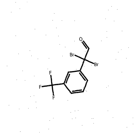 O=CC(Br)(Br)c1cccc(C(F)(F)F)c1